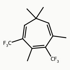 CC1=CC(C)(C)C=C(C(F)(F)F)C(C)=C1C(F)(F)F